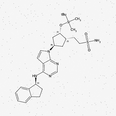 CC(C)(C)[Si](C)(C)O[C@H]1C[C@H](n2ccc3c(N[C@H]4CCc5ccccc54)ncnc32)C[C@H]1CCS(N)(=O)=O